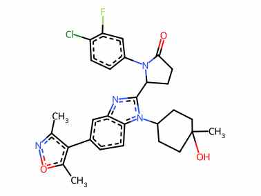 Cc1noc(C)c1-c1ccc2c(c1)nc(C1CCC(=O)N1c1ccc(Cl)c(F)c1)n2C1CCC(C)(O)CC1